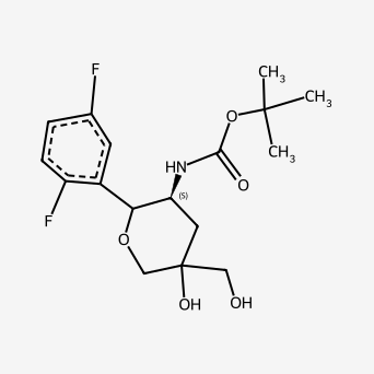 CC(C)(C)OC(=O)N[C@H]1CC(O)(CO)COC1c1cc(F)ccc1F